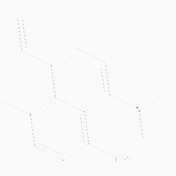 C=Cc1ccc(C(=C)C)c2c(CCC)ccc(C)c12